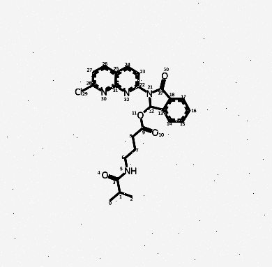 CC(C)C(=O)NCCCC(=O)OC1c2ccccc2C(=O)N1c1ccc2ccc(Cl)nc2n1